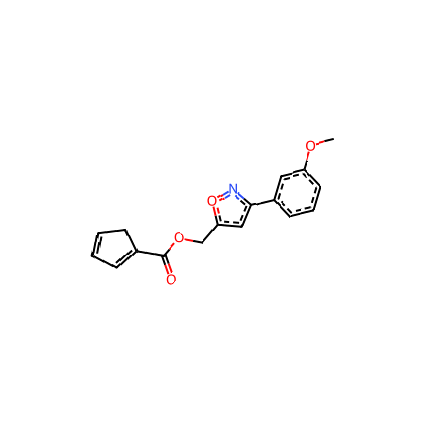 COc1cccc(-c2cc(COC(=O)C3=CC=CC3)on2)c1